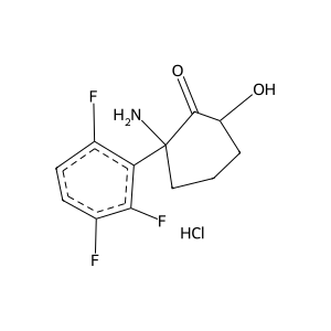 Cl.NC1(c2c(F)ccc(F)c2F)CCCC(O)C1=O